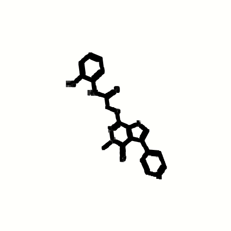 Cn1nc(OCC(=O)Nc2ccccc2O)c2scc(-c3ccncc3)c2c1=O